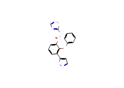 O=S(=O)(Nc1ncns1)c1cccc(-c2ccn[nH]2)c1Oc1ccccc1